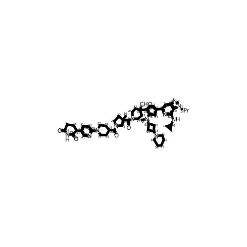 CC(C)n1cnc2cc(-c3ccc(C4(C=O)CCN(C(=O)C5(C)CCN(C(=O)C6CCN(c7ccc(C8CCC(=O)NC8=O)cn7)CC6)C5)CC4)c(N(C)C4CC(N5CCCCC5)C4)c3)nc(NC3CC3)c21